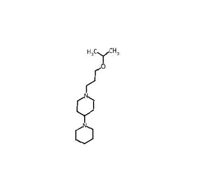 CC(C)OCCCN1CCC(N2CCCCC2)CC1